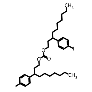 CCCCCCCC(CCOC(=O)OCCC(CCCCCCC)c1ccc(I)cc1)c1ccc(I)cc1